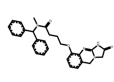 CN(C(=O)CCCOc1cccc2c1N=C1NC(=O)CN1C2)C(c1ccccc1)c1ccccc1